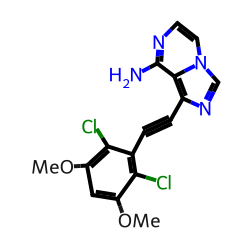 COc1cc(OC)c(Cl)c(C#Cc2ncn3ccnc(N)c23)c1Cl